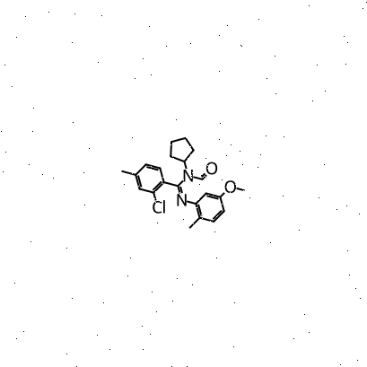 COc1ccc(C)c(/N=C(/c2ccc(C)cc2Cl)N(C=O)C2CCCC2)c1